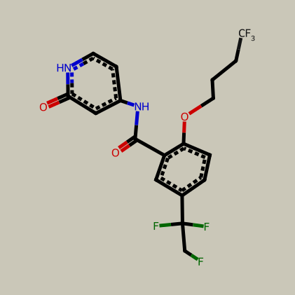 O=C(Nc1cc[nH]c(=O)c1)c1cc(C(F)(F)CF)ccc1OCCCC(F)(F)F